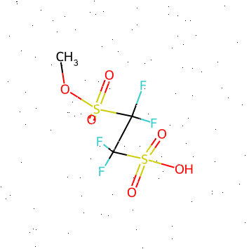 COS(=O)(=O)C(F)(F)C(F)(F)S(=O)(=O)O